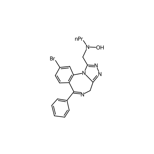 CCCN(O)Cc1nnc2n1-c1cc(Br)ccc1C(c1ccccc1)=NC2